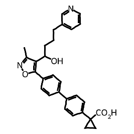 Cc1noc(-c2ccc(-c3ccc(C4(C(=O)O)CC4)cc3)cc2)c1C(O)CCCc1cccnc1